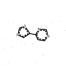 [c]1cc(-c2cncs2)ncn1